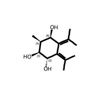 CC(C)=C1C(=C(C)C)[C@H](O)[C@@H](O)[C@@H](C)[C@H]1O